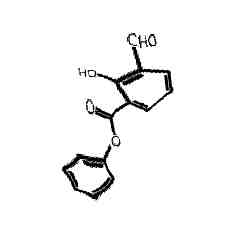 O=Cc1cccc(C(=O)Oc2ccccc2)c1O